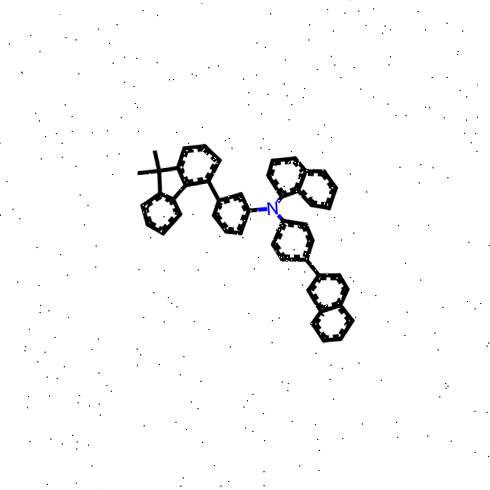 CC1(C)c2ccccc2-c2c(-c3cccc(N(c4ccc(-c5ccc6ccccc6c5)cc4)c4cccc5ccccc45)c3)cccc21